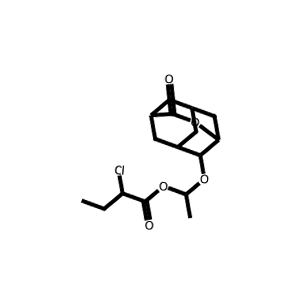 CCC(Cl)C(=O)OC(C)OC1C2CC3CC(C2)C(=O)OC1C3